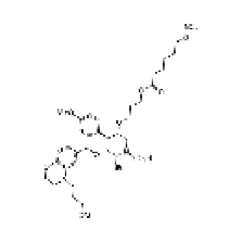 COCCCN1CCOc2ccc(CO[C@H]3C(C(C)(C)C)N(C(=O)O)C[C@@H](OCCCOC(=O)CCCCCO[N+](=O)[O-])[C@@H]3c3ccc(OC)cc3)cc21